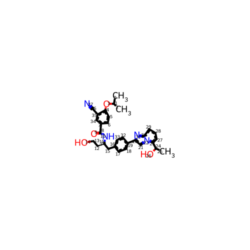 CC(C)Oc1ccc(C(=O)N[C@H](CCO)Cc2ccc(-c3cn4c(C(C)O)cccc4n3)cc2)cc1C#N